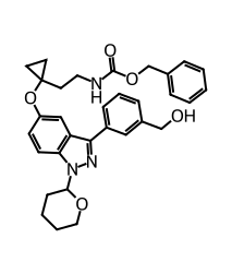 O=C(NCCC1(Oc2ccc3c(c2)c(-c2cccc(CO)c2)nn3C2CCCCO2)CC1)OCc1ccccc1